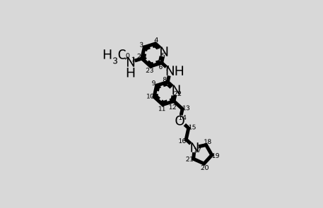 CNc1ccnc(Nc2cccc(COCCN3CCCC3)n2)c1